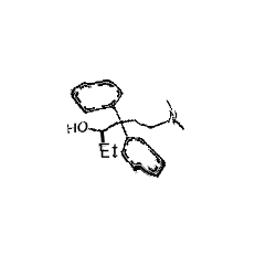 CCC(O)C(CCN(C)C)(c1ccccc1)c1ccccc1